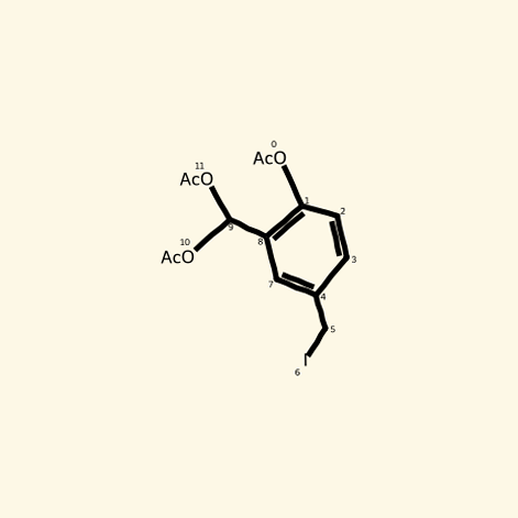 CC(=O)Oc1ccc(CI)cc1C(OC(C)=O)OC(C)=O